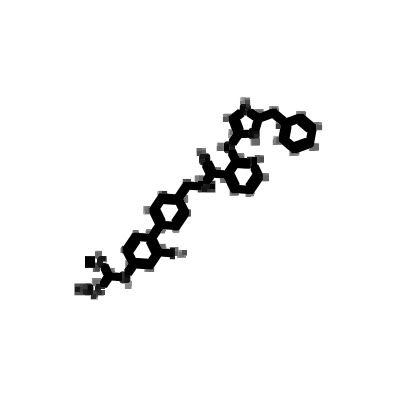 CC(Oc1ccc(-c2ccc(CNC(=O)c3cccnc3OC3=COC(Cc4ccccc4)O3)cc2)c(F)c1)C(=O)O